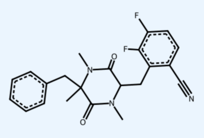 CN1C(=O)C(C)(Cc2ccccc2)N(C)C(=O)C1Cc1c(C#N)ccc(F)c1F